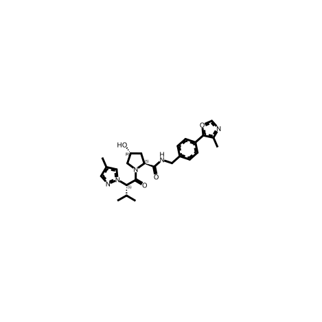 Cc1cnn([C@H](C(=O)N2C[C@H](O)C[C@H]2C(=O)NCc2ccc(-c3ocnc3C)cc2)C(C)C)c1